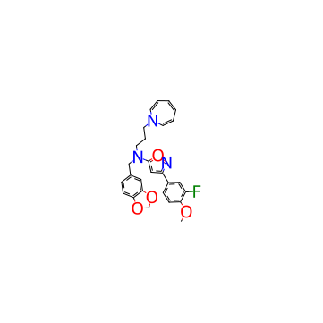 COc1ccc(-c2cc(N(CCCN3C=CC=CC=C3)Cc3ccc4c(c3)OCO4)on2)cc1F